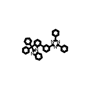 c1ccc(-c2nc(-c3ccccc3)nc(-c3cccc(-c4cccc5c4-n4c(nc6ccccc64)C5(c4ccccc4)c4ccccc4)c3)n2)cc1